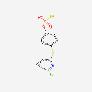 O=P(O)(S)Oc1ccc(Sc2cccc(Cl)n2)cc1